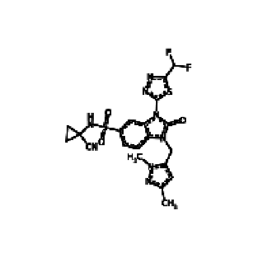 Cc1cc(Cn2c(=O)n(-c3nnc(C(F)F)s3)c3cc(S(=O)(=O)NC4(C#N)CC4)ccc32)n(C)n1